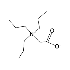 CCC[N+](CCC)(CCC)CC(=O)[O-]